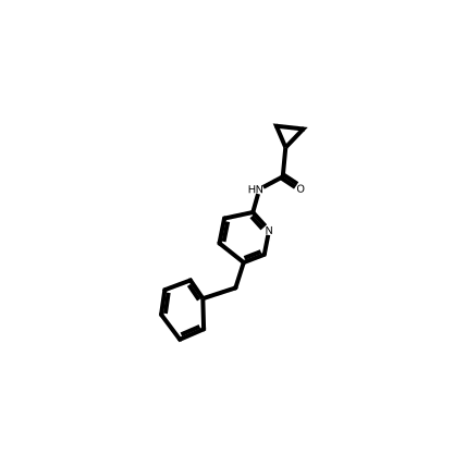 O=C(Nc1ccc(Cc2ccccc2)cn1)C1CC1